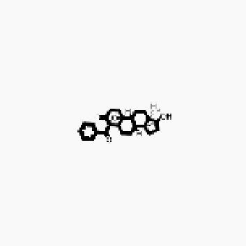 C[C@]12CCC(=O)C(C(=O)c3ccccc3)C1CC[C@@H]1[C@H]2CC[C@]2(C)C(O)CC[C@@H]12